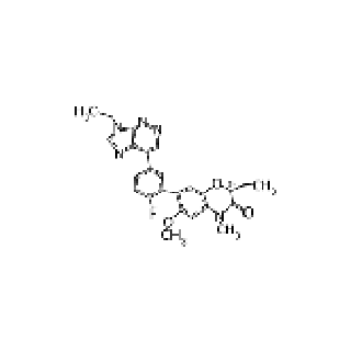 CC[C@@H]1Oc2cc(-c3cc(-c4cnnc5c4ncn5CC)ccc3F)c(OC)cc2N(C)C1=O